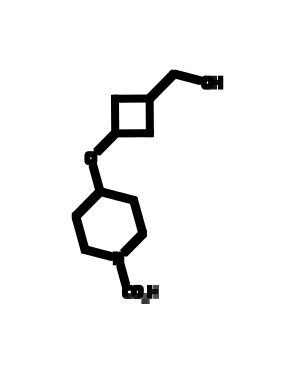 O=C(O)N1CCC(OC2CC(CO)C2)CC1